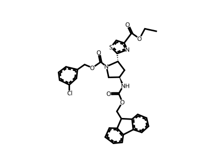 CCOC(=O)c1csc([C@@H]2C[C@@H](NC(=O)OCC3c4ccccc4-c4ccccc43)CN2C(=O)OCc2cccc(Cl)c2)n1